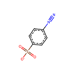 N#[N+]c1ccc(S(=O)(=O)[O-])cc1